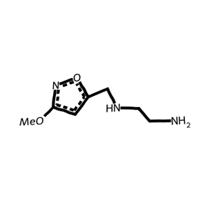 COc1cc(CNCCN)on1